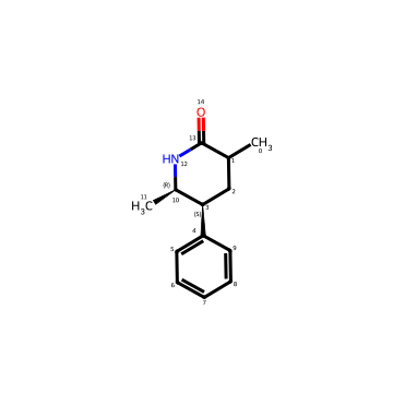 CC1C[C@@H](c2ccccc2)[C@@H](C)NC1=O